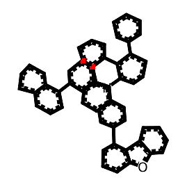 c1ccc(-c2ccccc2-c2c(-c3ccccc3)cccc2N(c2ccc(-c3cccc4oc5ccccc5c34)cc2)c2cccc(-c3cccc4ccccc34)c2)cc1